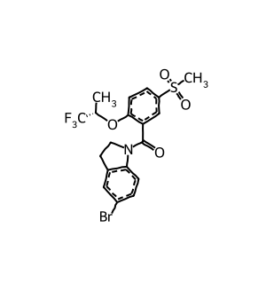 C[C@H](Oc1ccc(S(C)(=O)=O)cc1C(=O)N1CCc2cc(Br)ccc21)C(F)(F)F